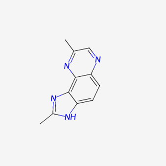 Cc1cnc2ccc3[nH]c(C)nc3c2n1